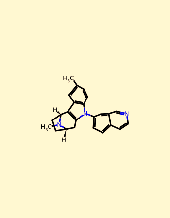 Cc1ccc2c(c1)c1c(n2-c2ccc3ccncc3c2)C[C@@H]2CC[C@H]1N2C